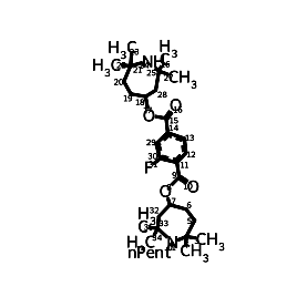 CCCCCN1C(C)(C)CCC(OC(=O)c2ccc(C(=O)OC3CCC(C)(C)NC(C)(C)C3)cc2F)CC1(C)C